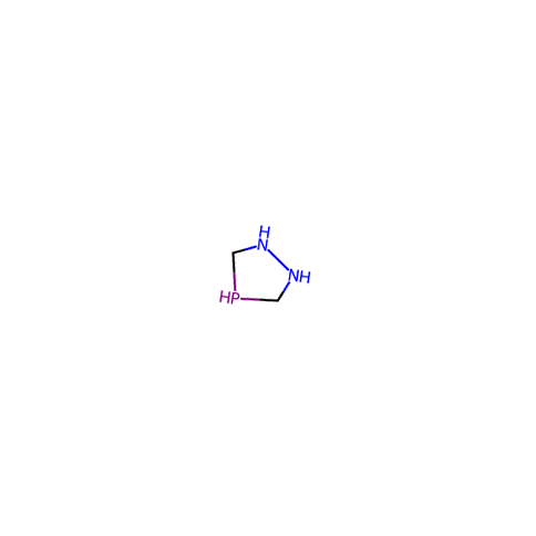 C1NNCP1